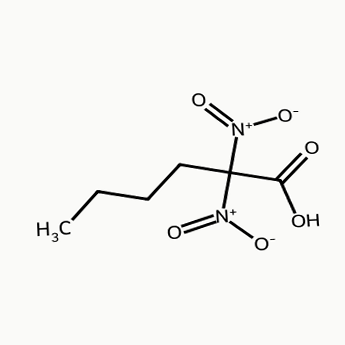 CCCCC(C(=O)O)([N+](=O)[O-])[N+](=O)[O-]